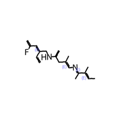 C=C/C(=C\C(=C)F)CNC(=C)C/C(C)=C/N=C(C)/C(C)=C/C